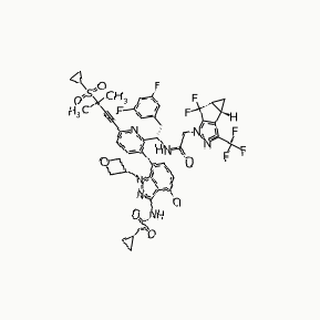 CC(C)(C#Cc1ccc(-c2ccc(Cl)c3c(NS(=O)(=O)C4CC4)nn(C4COC4)c23)c([C@H](Cc2cc(F)cc(F)c2)NC(=O)Cn2nc(C(F)(F)F)c3c2C(F)(F)C2C[C@H]32)n1)S(=O)(=O)C1CC1